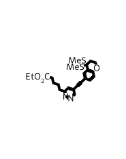 CCOC(=O)CCCCc1cc(C#Cc2ccc3c(c2)C(SC)(SC)CCO3)cnn1